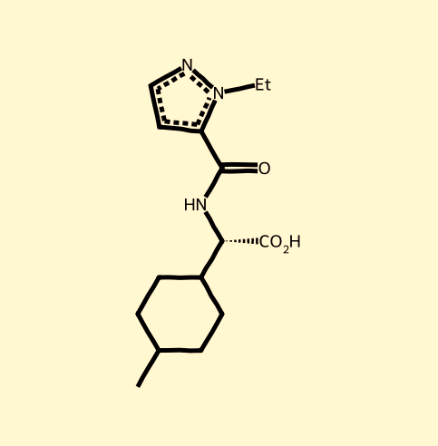 CCn1nccc1C(=O)N[C@H](C(=O)O)C1CCC(C)CC1